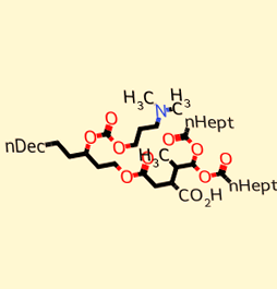 CCCCCCCCCCCCC(CCOC(=O)CC(C(=O)O)C(C)C(OC(=O)CCCCCCC)OC(=O)CCCCCCC)OC(=O)OCCCN(C)C